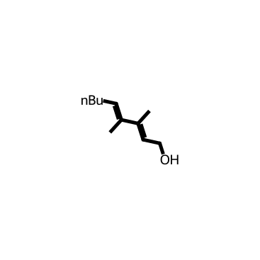 CCCC/C=C(C)/C(C)=C/CO